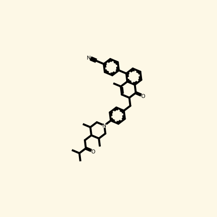 CC1=CC(Cc2ccc(N3CC(C)C(CC(=O)C(C)C)C(C)C3)cc2)C(=O)c2cccc(-c3ccc(C#N)cc3)c21